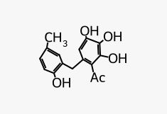 CC(=O)c1c(Cc2cc(C)ccc2O)cc(O)c(O)c1O